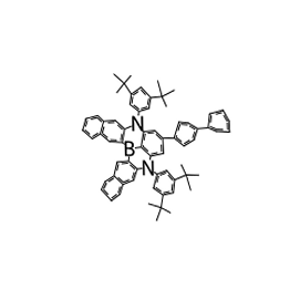 CC(C)(C)c1cc(N2c3cc4ccccc4cc3B3c4cc5ccccc5cc4N(c4cc(C(C)(C)C)cc(C(C)(C)C)c4)c4cc(-c5ccc(-c6ccccc6)cc5)cc2c43)cc(C(C)(C)C)c1